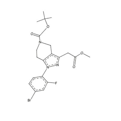 COC(=O)Cc1nn(-c2ccc(Br)cc2F)c2c1CN(C(=O)OC(C)(C)C)CC2